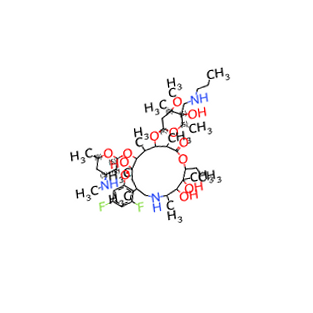 CCCNC[C@]1(O)[C@H](C)O[C@@H](OC2C(C)C(=O)OC(CC)C(C)(O)C(O)C(C)NCC(C)CC(C)(O)C(O[C@@H]3O[C@H](C)C[C@H](NC)[C@H]3Oc3cc(F)cc(F)c3)C2C)C[C@@]1(C)OC